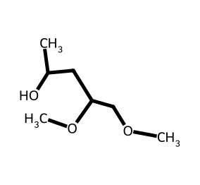 COCC(CC(C)O)OC